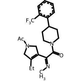 CCC1=C(/C(=N\C)C(=O)N2CCC(c3ccccc3C(F)(F)F)CC2)CN(C(C)=O)C1